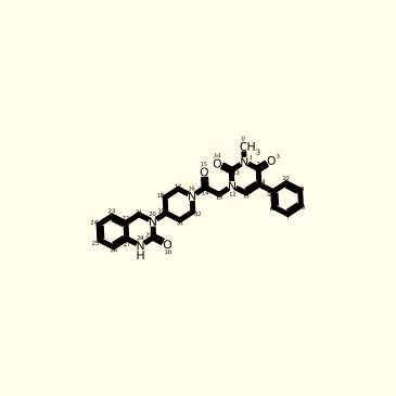 Cn1c(=O)c(-c2ccccc2)cn(CC(=O)N2CCC(N3Cc4ccccc4NC3=O)CC2)c1=O